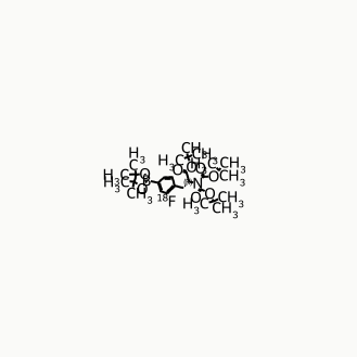 CC(C)(C)OC(=O)[C@@H](Cc1ccc(B2OC(C)(C)C(C)(C)O2)cc1[18F])N(C(=O)OC(C)(C)C)C(=O)OC(C)(C)C